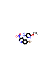 COc1ccc(Nc2c([N+](=O)[O-])cnc3ccc(Br)cc23)cn1